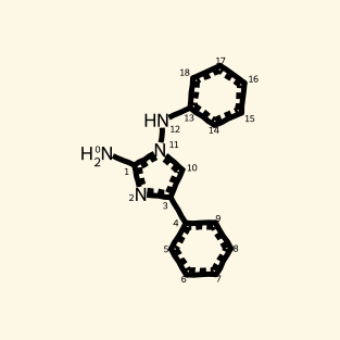 Nc1nc(-c2ccccc2)cn1Nc1ccccc1